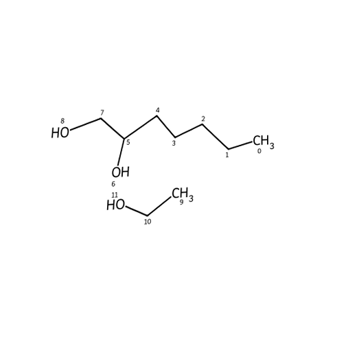 CCCCCC(O)CO.CCO